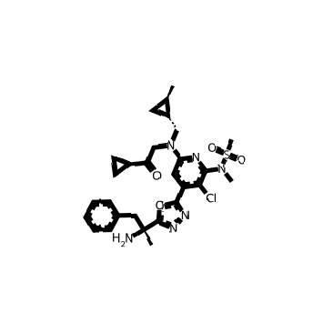 C[C@@H]1C[C@H]1CN(CC(=O)C1CC1)c1cc(-c2nnc([C@](C)(N)Cc3ccccc3)o2)c(Cl)c(N(C)S(C)(=O)=O)n1